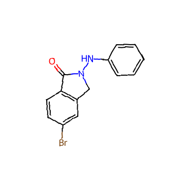 O=C1c2ccc(Br)cc2CN1Nc1ccccc1